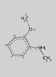 CNc1[c]cccc1OC